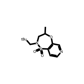 CC1CN(CC(C)(C)C)S(=O)(=O)c2ccncc2O1